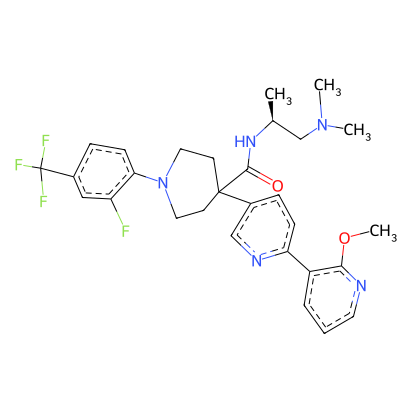 COc1ncccc1-c1ccc(C2(C(=O)N[C@@H](C)CN(C)C)CCN(c3ccc(C(F)(F)F)cc3F)CC2)cn1